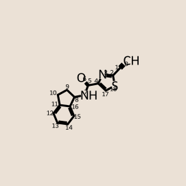 C#Cc1nc(C(=O)NC2CCc3ccccc32)cs1